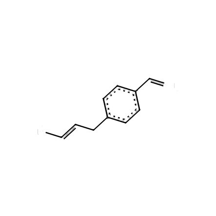 C=Cc1ccc(CC=CBr)cc1